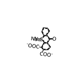 O=C([O-])c1ccc2c(=O)c3ccccc3sc2c1C(=O)[O-].[Na+].[Na+]